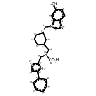 N#Cc1ccc2ncn(C[C@H]3CCCC(CN(Cc4nc(-c5ccccc5)cs4)C(=O)O)C3)c2c1